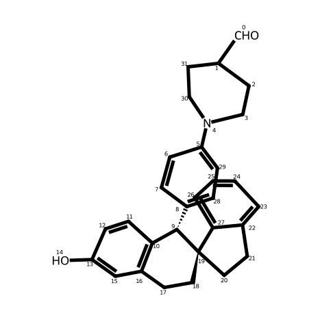 O=CC1CCN(c2ccc([C@H]3c4ccc(O)cc4CC[C@@]34CCc3ccccc34)cc2)CC1